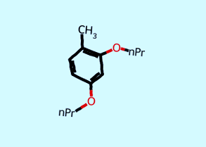 CCCOc1ccc(C)c(OCCC)c1